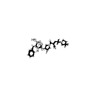 CC(C)(C=C(C#N)C(=O)N1C[C@@H](F)[C@@H](OC(=O)N[C@@H](Cc2ccccc2)B(O)O)C1)N1CCC(F)(F)C1